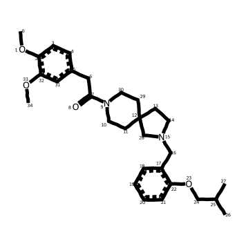 COc1ccc(CC(=O)N2CCC3(CCN(Cc4ccccc4OCC(C)C)C3)CC2)cc1OC